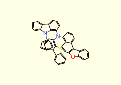 c1ccc(-n2c3ccccc3c3cccc(N(c4cccc5c4ccc4oc6ccccc6c45)c4cccc5c4sc4ccccc45)c32)cc1